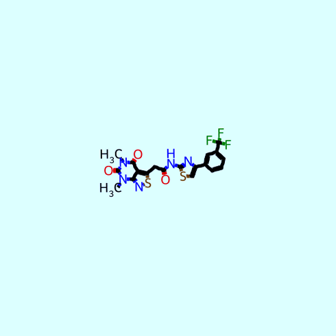 Cn1c(=O)c2c(CC(=O)Nc3nc(-c4cccc(C(F)(F)F)c4)cs3)snc2n(C)c1=O